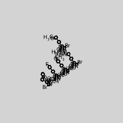 CC(=O)Nc1cccc(-c2ccc(-c3cc4c(Br)cnn4c(S(C)(=O)=O)n3)cc2)c1.COc1ccc(-c2ccc(-c3cc4c(Br)cnn4c(S(C)(=O)=O)n3)cc2)cc1.COc1cccc(-c2ccc(-c3cc4c(Br)cnn4c(S(C)(=O)=O)n3)cc2)c1.CS(=O)(=O)c1nc(-c2ccc(-c3ccc(F)cc3)cc2)cc2c(Br)cnn12.CS(=O)(=O)c1nc(-c2cccc3c2oc2ccccc23)cc2c(Br)cnn12